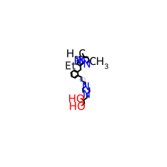 CCc1nn2c(C)cc(C)nc2c1Cc1ccccc1/C=C/CN1CCN(CC(O)CO)CC1